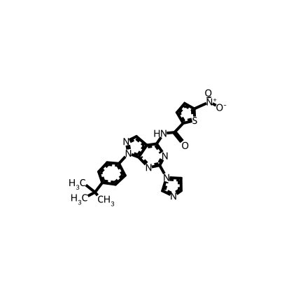 CC(C)(C)c1ccc(-n2ncc3c(NC(=O)c4ccc([N+](=O)[O-])s4)nc(-n4ccnc4)nc32)cc1